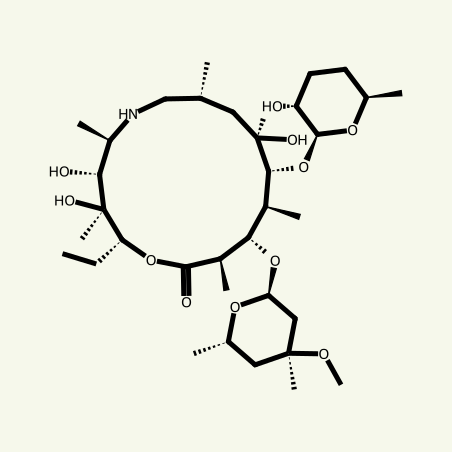 CC[C@H]1OC(=O)[C@H](C)[C@@H](O[C@H]2C[C@@](C)(OC)C[C@H](C)O2)[C@H](C)[C@@H](O[C@@H]2O[C@H](C)CC[C@H]2O)[C@](C)(O)C[C@@H](C)CN[C@H](C)[C@@H](O)[C@]1(C)O